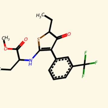 CCC(NC1=C(c2cccc(C(F)(F)F)c2)C(=O)C(CC)S1)C(=O)OC